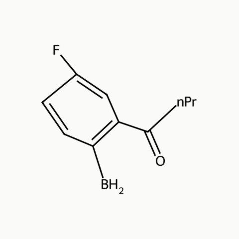 Bc1ccc(F)cc1C(=O)CCC